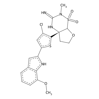 COc1cccc2cc(-c3cc(Cl)c([C@]45CCOC4S(=O)(=O)N(C)C(=N)N5)s3)[nH]c12